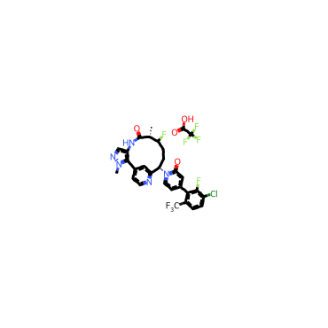 C[C@H]1C(=O)Nc2cnn(C)c2-c2ccnc(c2)[C@@H](n2ccc(-c3c(C(F)(F)F)ccc(Cl)c3F)cc2=O)CCC1F.O=C(O)C(F)(F)F